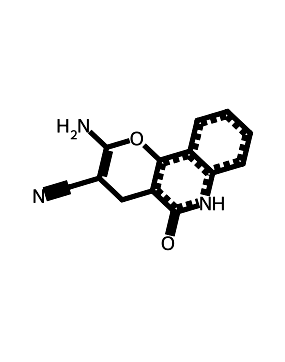 N#CC1=C(N)Oc2c(c(=O)[nH]c3ccccc23)C1